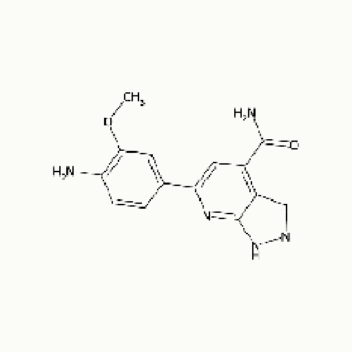 COc1cc(-c2cc(C(N)=O)c3cn[nH]c3n2)ccc1N